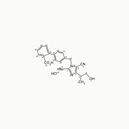 CCCCc1nc(C(C)CO)c(C#N)n1Cc1ccc(-c2ccccc2C(=O)O)cc1.Cl